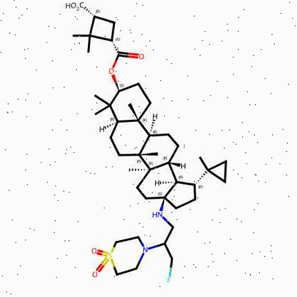 CC1([C@@H]2CC[C@]3(NCC(CF)N4CCS(=O)(=O)CC4)CC[C@]4(C)[C@H](CC[C@@H]5[C@@]6(C)CC[C@H](OC(=O)[C@H]7C[C@@H](C(=O)O)C7(C)C)C(C)(C)[C@@H]6CC[C@]54C)[C@@H]23)CC1